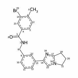 Cc1ccc(C(=O)NCc2cccc(-c3cn4c(n3)CCC4)c2)cc1Br